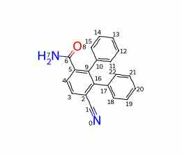 N#Cc1ccc(C(N)=O)c(-c2ccccc2)c1-c1ccccc1